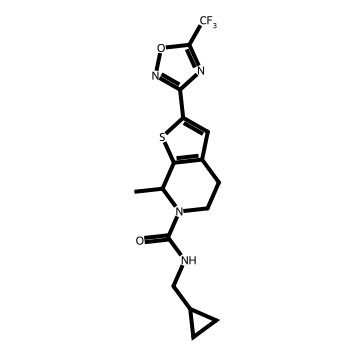 CC1c2sc(-c3noc(C(F)(F)F)n3)cc2CCN1C(=O)NCC1CC1